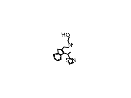 CC(C1=C(CCN(C)CCO)Cc2ccccc21)c1nccs1